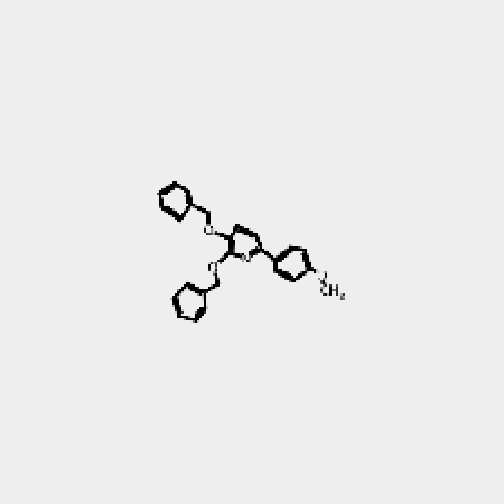 COc1ccc(-c2ccc(OCc3ccccc3)c(OCc3ccccc3)n2)cc1